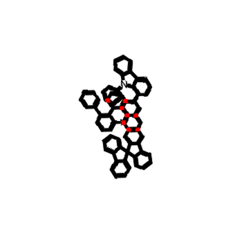 c1ccc(-c2ccccc2-c2c(-c3ccccc3)cccc2N(c2ccc(-c3cccc4c5ccccc5n(-c5ccccc5)c34)cc2)c2ccc3c(c2)C2(c4ccccc4-c4ccccc42)c2ccccc2-3)cc1